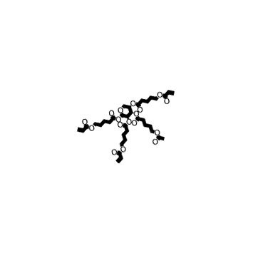 C=CC(=O)OCCCCC(=O)OC1OC[C@@H](OC(=O)CCCCOC(=O)C=C)[C@H](OC(=O)CCCCOC(C)=O)[C@H]1OC(=O)CCCCOC(=O)C=C